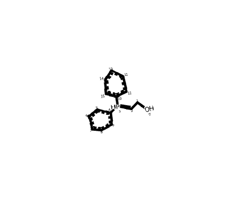 OCC=[PH](c1ccccc1)c1ccccc1